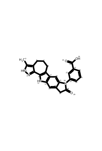 Cc1[nH]nc2c1CCCc1c-2[nH]c2cc3c(cc12)N(c1cccc(C(=O)O)c1)C(=O)C3